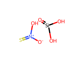 O=[Si](O)O.[O-][N+](O)=S